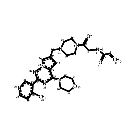 C=CC(=O)NCC(=O)N1CCN(Cc2cc3c(N4CCOCC4)nc(-c4cn[c]cc4C(F)(F)F)nn3c2)CC1